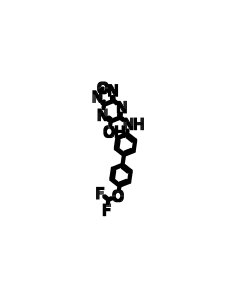 Oc1nc2nonc2nc1Nc1ccc(-c2ccc(OC(F)F)cc2)cc1